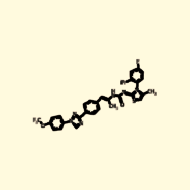 C/C(=C\c1ccc(-c2ncn(-c3ccc(OC(F)(F)F)cc3)n2)cc1)NC(=O)/N=c1\scc(C)n1-c1ccc(F)cc1C(C)C